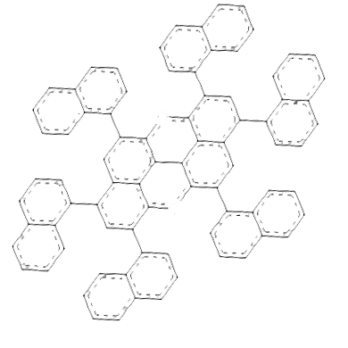 c1ccc2c(-c3cc4c(-c5cccc6ccccc56)cc(-c5cccc6ccccc56)c5oc6c(-c7cccc8ccccc78)cc7c(-c8cccc9ccccc89)cc(-c8cccc9ccccc89)c8oc3c(c45)-c6c78)cccc2c1